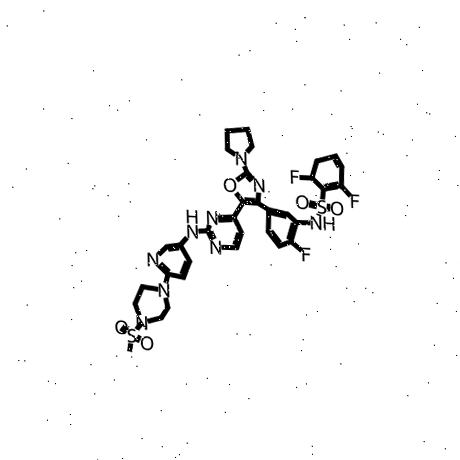 CS(=O)(=O)N1CCN(c2ccc(Nc3nccc(-c4oc(N5CCCC5)nc4-c4ccc(F)c(NS(=O)(=O)C5=C(F)C=CCC5F)c4)n3)cn2)CC1